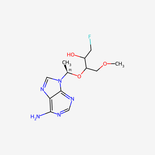 COCC(O[C@H](C)n1cnc2c(N)ncnc21)C(O)CF